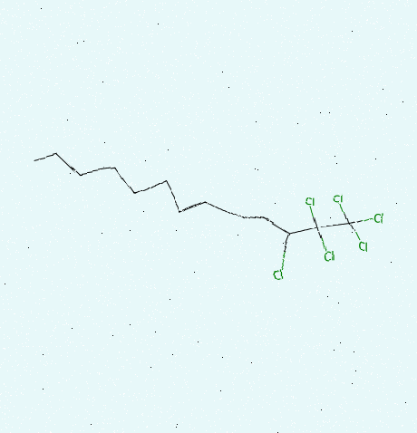 CCCCCCCCCCC(Cl)C(Cl)(Cl)C(Cl)(Cl)Cl